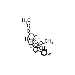 CCOCO[C@H]1CC[C@@]2(C)[C@H](CC[C@@H]3[C@@H]2CC[C@]2(C)C(c4ccc(F)cc4)=CCC32OCOCC)C1